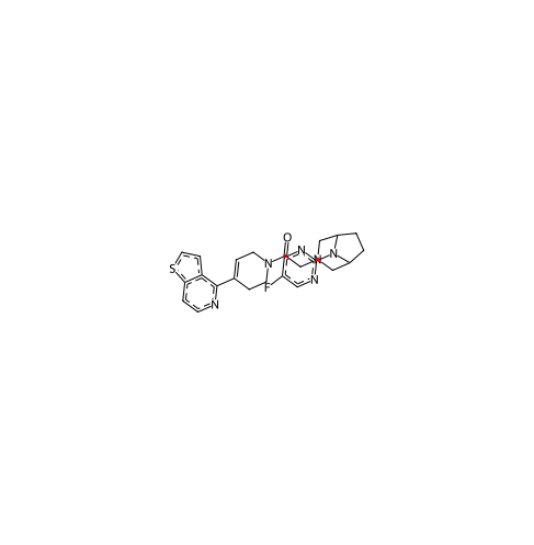 O=C(CN1CC2CCC(C1)N2c1ncc(F)cn1)N1CC=C(c2nccc3sccc23)CC1